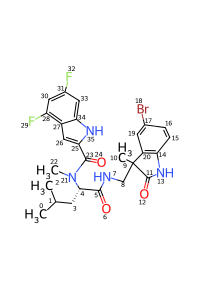 CC(C)C[C@@H](C(=O)NCC1(C)C(=O)Nc2ccc(Br)cc21)N(C)C(=O)c1cc2c(F)cc(F)cc2[nH]1